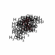 CC1C(O)[C@H](O[C@@H]2OC(CO[C@]3(C(=O)O)C[C@@H](O)[C@@H](N)C(C(O)C(O)CO)O3)[C@H](O)C(O)C2O)[C@H](CO)O[C@H]1O[C@@H]1C(O)[C@H](O)C(CO)O[C@@H]1OCC1O[C@@H](O[C@@H]2C(CO)O[C@@H](O[C@@H]3C(CO)O[C@@H](C)[C@@H](C)C3O)[C@@H](C)C2O)C(O)C(O[C@H]2O[C@H](CO)[C@@H](O)C(O)C2O[C@@H]2OC(CO)[C@H](O[C@@H]3OC(CO[C@]4(C(=O)O)C[C@@H](O)[C@@H](N)C(C(O)C(O)CO)O4)[C@H](C)C(O)[C@@H]3O)C(O)[C@@H]2C)[C@@H]1O